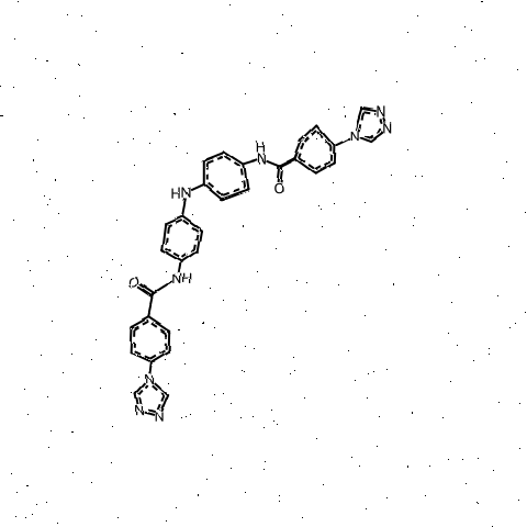 O=C(Nc1ccc(Nc2ccc(NC(=O)c3ccc(-n4cnnc4)cc3)cc2)cc1)c1ccc(-n2cnnc2)cc1